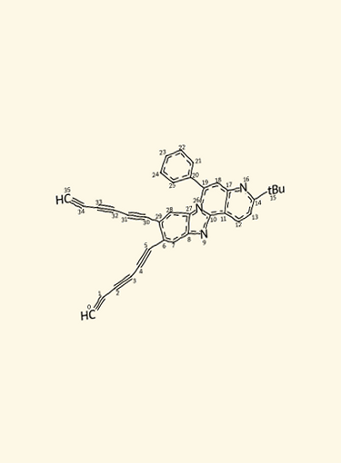 C#CC#CC#Cc1cc2nc3c4ccc(C(C)(C)C)nc4cc(-c4ccccc4)n3c2cc1C#CC#CC#C